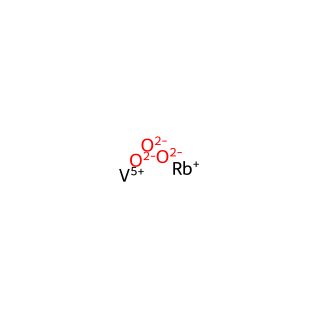 [O-2].[O-2].[O-2].[Rb+].[V+5]